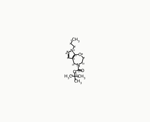 CCCn1ncc2c1OCCN(C(=O)OC(C)(C)C)C2